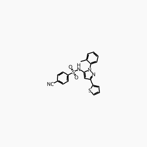 Cc1ccccc1-n1nc(-c2cccs2)cc1NS(=O)(=O)c1ccc(C#N)cc1